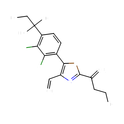 C=Cc1nc(C(=C)CCC)sc1-c1ccc(C(C)(C)CC)c(Cl)c1Cl